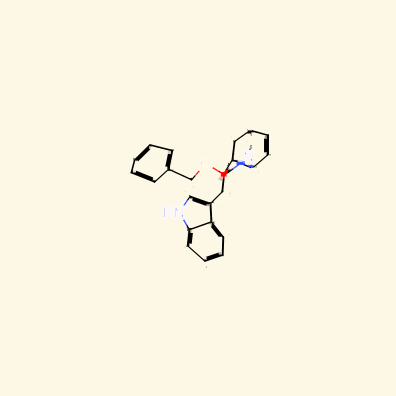 C1=CC2C(COCc3ccccc3)CC1CN2CCc1c[nH]c2ccccc12